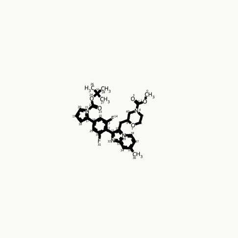 COC(=O)N1CCOC(Cc2c(-c3c(F)cc(-c4cccn4C(=O)OC(C)(C)C)cc3F)nc3cc(C)ccn23)C1